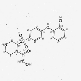 O=C(NO)N1CCNC[C@H]1S(=O)(=O)c1ccc(Oc2ccccc2Cl)cc1